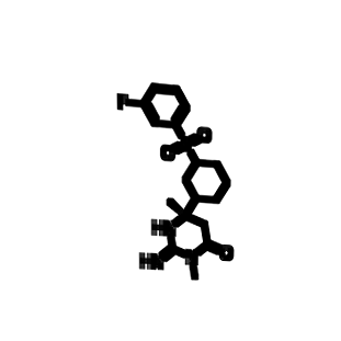 CN1C(=N)N[C@](C)(C2CCCC(S(=O)(=O)c3cccc(F)c3)C2)CC1=O